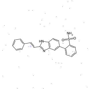 NS(=O)(=O)c1ccccc1-c1ccc2[nH]c(/C=C/c3ccccc3)nc2c1